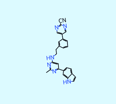 Cc1nc(NCCc2cccc(-c3cnc(C#N)nc3)c2)cc(-c2ccc3cc[nH]c3c2)n1